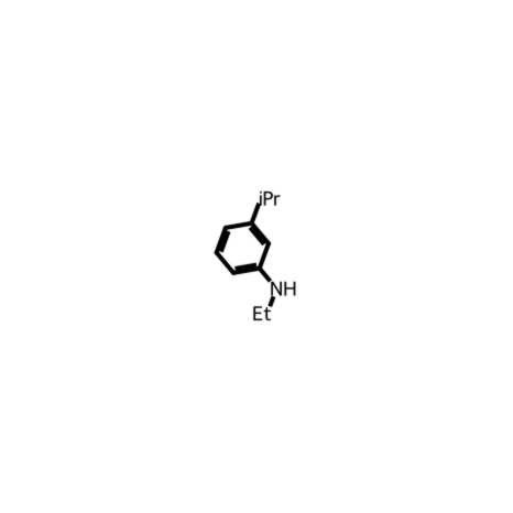 CCNc1cccc(C(C)C)c1